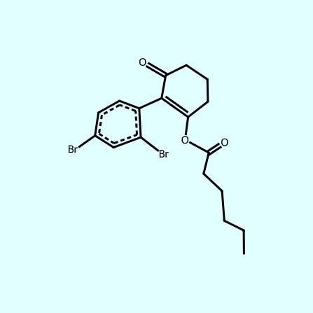 CCCCCC(=O)OC1=C(c2ccc(Br)cc2Br)C(=O)CCC1